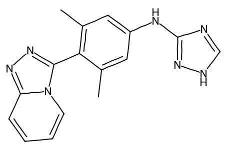 Cc1cc(Nc2nc[nH]n2)cc(C)c1-c1nnc2ccccn12